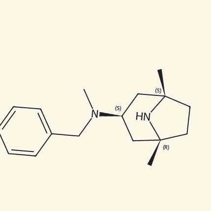 CN(Cc1ccccc1)[C@H]1C[C@]2(C)CC[C@](C)(C1)N2